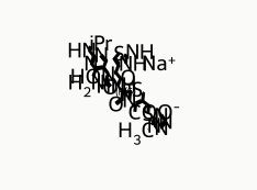 CC(C)Nc1ncc(N(C(N)=O)C(C(=O)N[C@@H]2C(=O)N3C(C(=O)[O-])=C(CSc4nnnn4C)CS[C@@H]23)c2csc(=N)[nH]2)c(O)n1.[Na+]